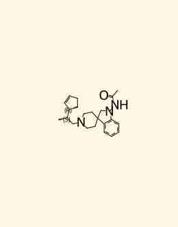 CC(=O)NN1CC2(CCN(C[C@@H](C)[C@H]3C=CCC3)CC2)c2ccccc21